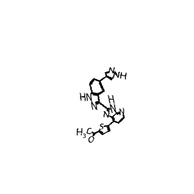 CC(=O)c1ccc(-c2ccnc3[nH]c(-c4n[nH]c5ccc(-c6cn[nH]c6)cc45)nc23)s1